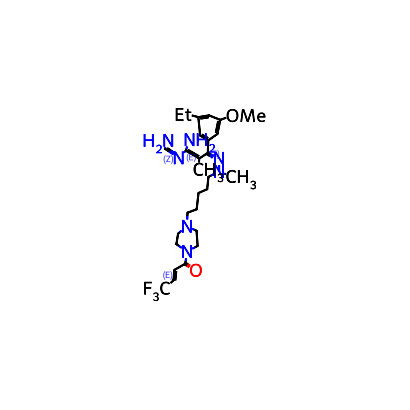 CCc1cc(OC)cc(C(=N/N(C)CCCCCN2CCN(C(=O)/C=C/C(F)(F)F)CC2)/C(C)=C(N)/N=C\N)c1